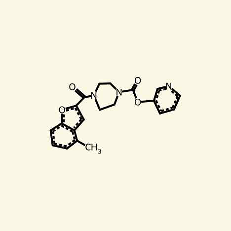 Cc1cccc2oc(C(=O)N3CCN(C(=O)Oc4cccnc4)CC3)cc12